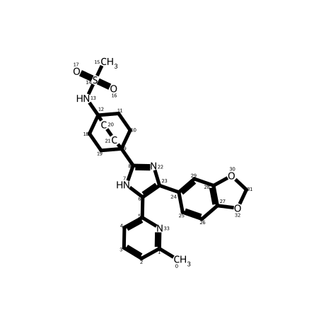 Cc1cccc(-c2[nH]c(C34CCC(NS(C)(=O)=O)(CC3)CC4)nc2-c2ccc3c(c2)OCO3)n1